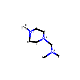 CC(C)N1CCN(CN(C)C)CC1